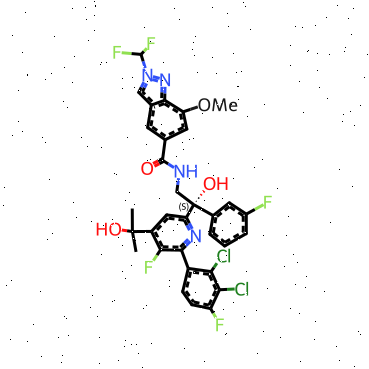 COc1cc(C(=O)NC[C@@](O)(c2cccc(F)c2)c2cc(C(C)(C)O)c(F)c(-c3ccc(F)c(Cl)c3Cl)n2)cc2cn(C(F)F)nc12